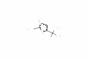 Cc1nc(C(C)(C)C)cn1C